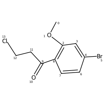 COc1cc(Br)ccc1C(=O)CCCl